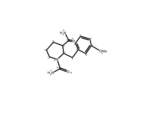 COc1cccc(CC2C(C(N)=O)CCCN2C(N)=O)c1